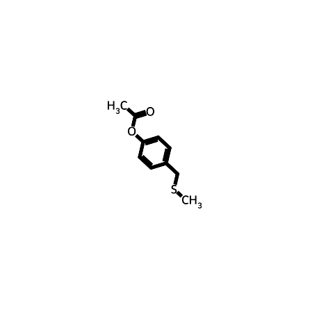 CSCc1ccc(OC(C)=O)cc1